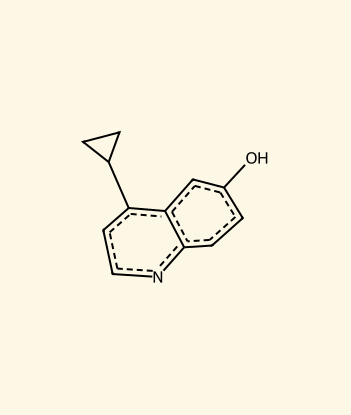 Oc1ccc2nccc(C3CC3)c2c1